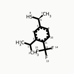 CC(C)c1cc([C@H](C)S)ccc1C(F)(F)F